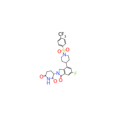 O=C1CCC(N2Cc3c(cc(F)cc3C3CCN(S(=O)(=O)c4ccc(C(F)(F)F)cc4)CC3)C2=O)C(=O)N1